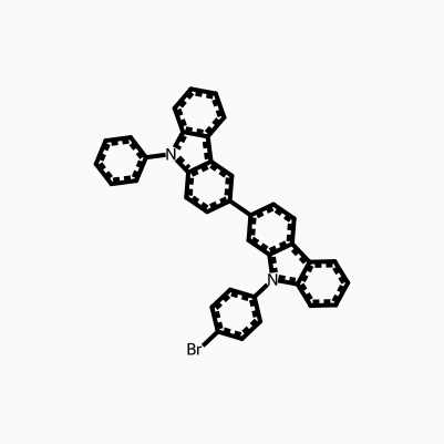 Brc1ccc(-n2c3ccccc3c3ccc(-c4ccc5c(c4)c4ccccc4n5-c4ccccc4)cc32)cc1